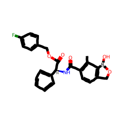 Cc1c(C(=O)N[C@H](C(=O)OCc2ccc(F)cc2)c2ccccc2)ccc2c1B(O)OC2